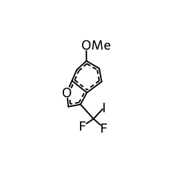 COc1ccc2c(C(F)(F)I)coc2c1